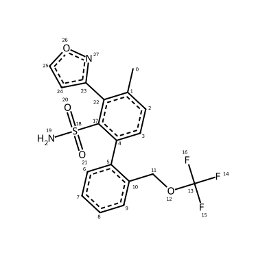 Cc1ccc(-c2ccccc2COC(F)(F)F)c(S(N)(=O)=O)c1-c1ccon1